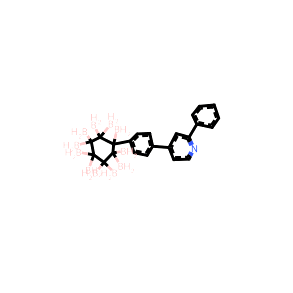 BC1(B)C(B)(B)C(B)(B)C(B)(c2ccc(-c3ccnc(-c4ccccc4)c3)cc2)C(B)(B)C1(B)B